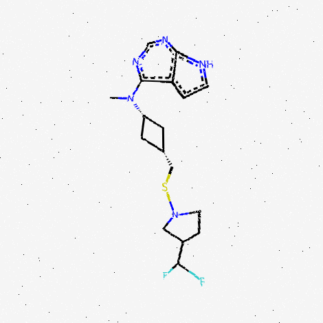 CN(c1ncnc2[nH]ccc12)[C@H]1C[C@@H](CSN2CCC(C(F)F)C2)C1